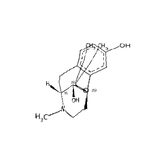 CN1CC[C@]23COC(C)(C)C[C@@]2(O)[C@H]1Cc1ccc(O)cc13